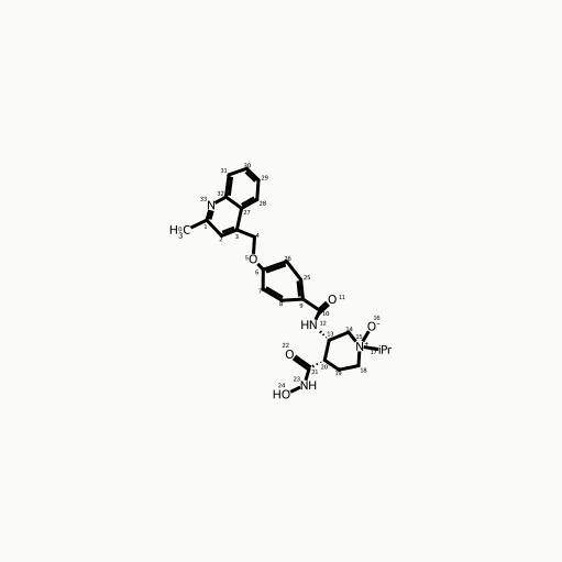 Cc1cc(COc2ccc(C(=O)N[C@@H]3C[N+]([O-])(C(C)C)CC[C@@H]3C(=O)NO)cc2)c2ccccc2n1